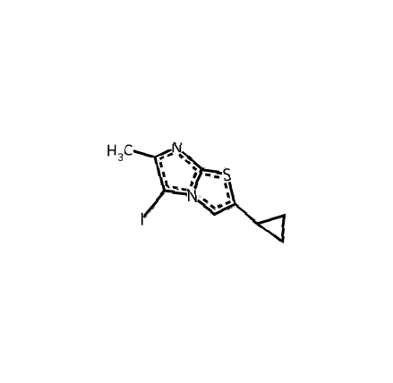 Cc1nc2sc(C3CC3)cn2c1I